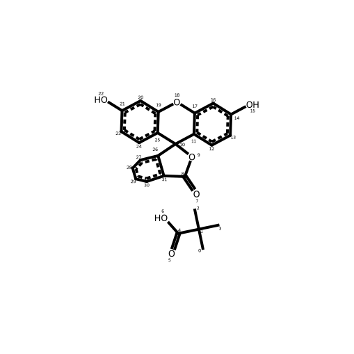 CC(C)(C)C(=O)O.O=C1OC2(c3ccc(O)cc3Oc3cc(O)ccc32)c2ccccc21